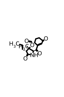 CCC[C@H]1C(=O)N[C@H](C(=O)C2=CC(=O)CCC2)[C@@]1(C)OC=O